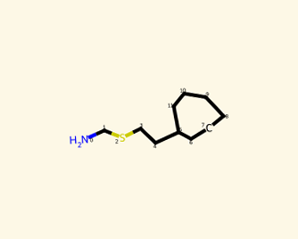 NCSCCC1CCCCCC1